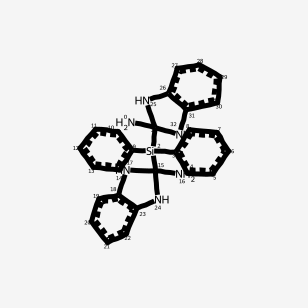 NC1([Si](c2ccccc2)(c2ccccc2)C2(N)Nc3ccccc3N2)Nc2ccccc2N1